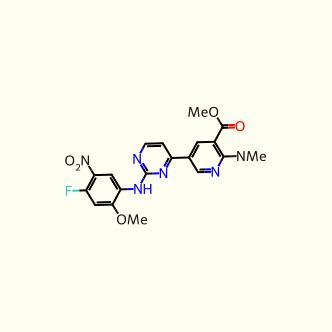 CNc1ncc(-c2ccnc(Nc3cc([N+](=O)[O-])c(F)cc3OC)n2)cc1C(=O)OC